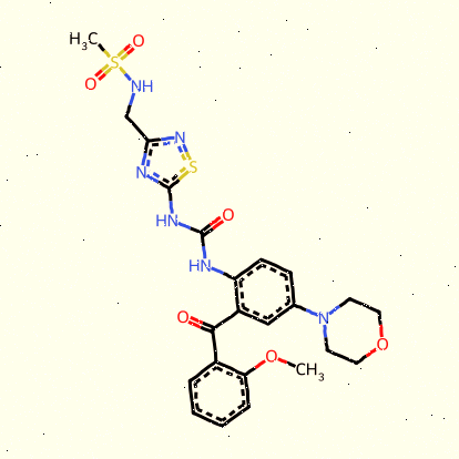 COc1ccccc1C(=O)c1cc(N2CCOCC2)ccc1NC(=O)Nc1nc(CNS(C)(=O)=O)ns1